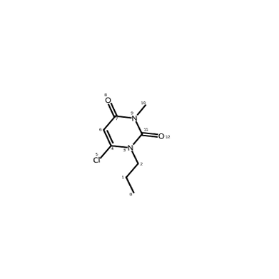 CCCn1c(Cl)cc(=O)n(C)c1=O